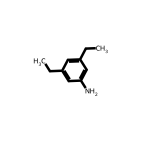 CCc1cc(N)cc(CC)c1